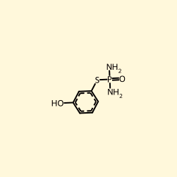 NP(N)(=O)Sc1cccc(O)c1